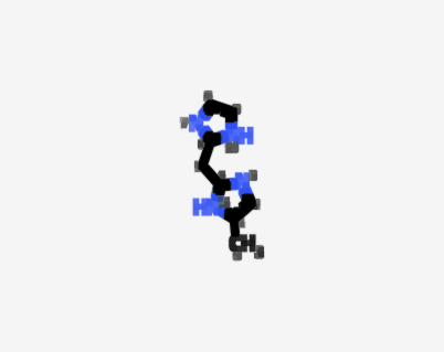 Cc1cnc(Cc2ncc[nH]2)[nH]1